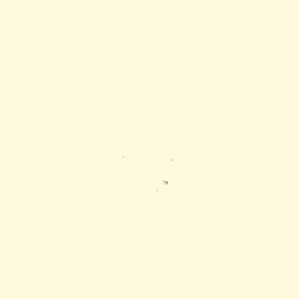 O=[P](O)(O)[Ti].[CaH2]